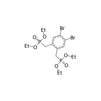 CCOP(=O)(Cc1cc(Br)c(Br)cc1CP(=O)(OCC)OCC)OCC